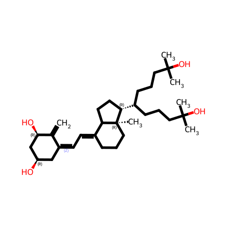 C=C1/C(=C\C=C2CCC[C@@]3(C)C2CC[C@@H]3C(CCCC(C)(C)O)CCCC(C)(C)O)C[C@@H](O)C[C@H]1O